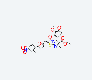 CCOC(=O)C1=C(C)N=c2s/c(=C\c3ccc(-c4ccc([N+](=O)[O-])cc4C)o3)c(=O)n2C1c1ccc(OC)c(OC)c1